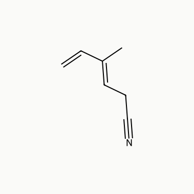 C=CC(C)=CCC#N